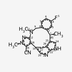 C[C@@H]1c2cc(F)ccc2CN(C)c2nn(C)c(C#N)c2-c2cnc3[nH]cc1c3c2